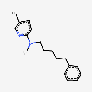 Cc1ccc(N(C)CCCCCc2ccccc2)nc1